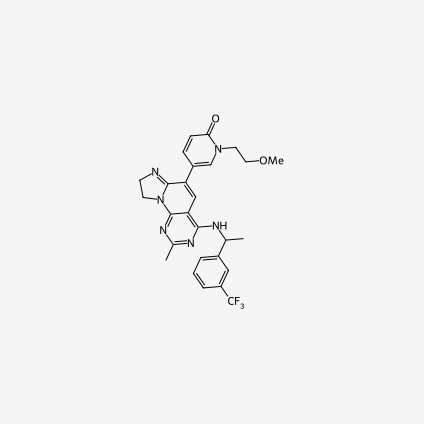 COCCn1cc(C2=Cc3c(NC(C)c4cccc(C(F)(F)F)c4)nc(C)nc3N3CCN=C23)ccc1=O